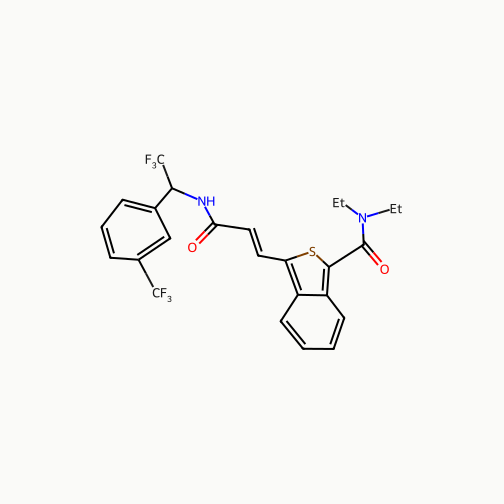 CCN(CC)C(=O)c1sc(C=CC(=O)NC(c2cccc(C(F)(F)F)c2)C(F)(F)F)c2ccccc12